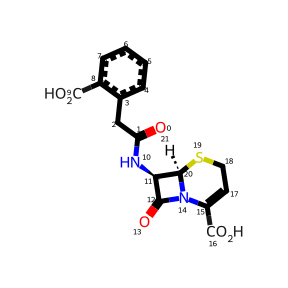 O=C(Cc1ccccc1C(=O)O)N[C@@H]1C(=O)N2C(C(=O)O)=CCS[C@H]12